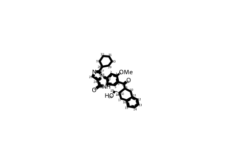 COc1cc2c(cc1C(=O)C1Cc3ccccc3C[C@@H]1CO)[nH]c(=O)c1cnc(C3CCCCC3)n12